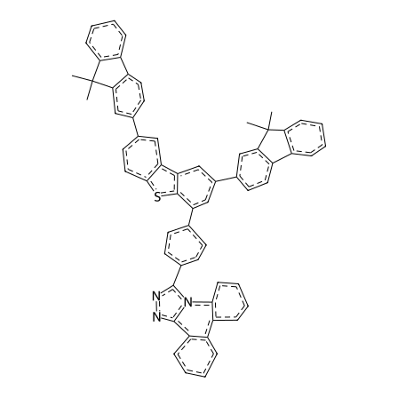 CC1(C)c2ccccc2-c2ccc(-c3ccc4sc5c(-c6ccc(-c7nnc8c9ccccc9c9ccccc9n78)cc6)cc(-c6ccc7c(c6)C(C)(C)c6ccccc6-7)cc5c4c3)cc21